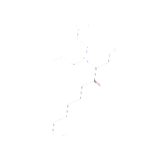 CCCCCCCCCCCCCCCC(=O)C(CO)N(CCO)CCO